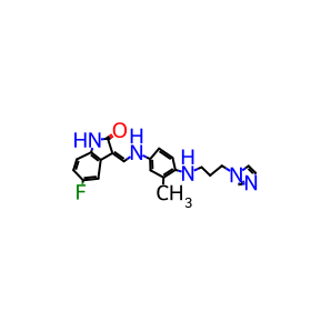 Cc1cc(N/C=C2\C(=O)Nc3ccc(F)cc32)ccc1NCCCn1ccnc1